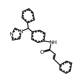 O=C(C=Cc1ccccc1)Nc1ccc(C(c2ccccc2)n2ccnc2)cc1